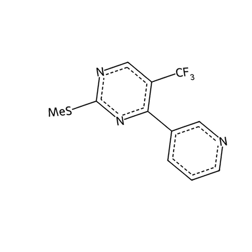 CSc1ncc(C(F)(F)F)c(-c2cccnc2)n1